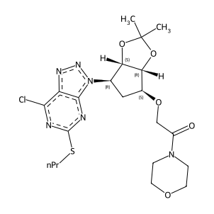 CCCSc1nc(Cl)c2nnn([C@@H]3C[C@H](OCC(=O)N4CCOCC4)[C@H]4OC(C)(C)O[C@H]43)c2n1